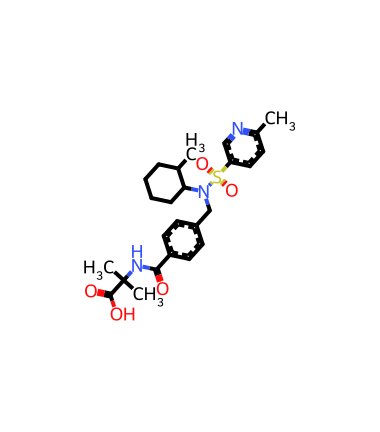 Cc1ccc(S(=O)(=O)N(Cc2ccc(C(=O)NC(C)(C)C(=O)O)cc2)C2CCCCC2C)cn1